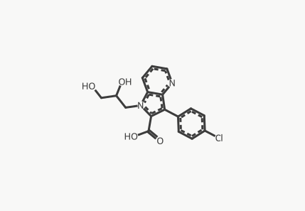 O=C(O)c1c(-c2ccc(Cl)cc2)c2ncccc2n1CC(O)CO